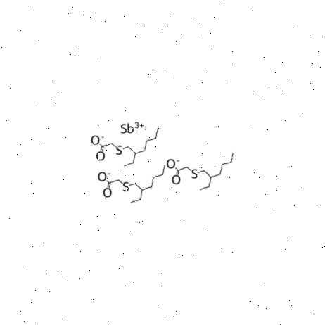 CCCCC(CC)CSCC(=O)[O-].CCCCC(CC)CSCC(=O)[O-].CCCCC(CC)CSCC(=O)[O-].[Sb+3]